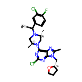 Cc1nc2c(N3C[C@@H](C)N(C(c4ccc(F)c(Cl)c4)C(C)C)C[C@@H]3C)nc(Cl)nc2n1C[C@@H]1CCCO1